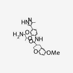 COc1ccc2c(c1)CC(C(=O)Nc1ccc(-c3c[nH]nc3C)cc1OC(C)C(N)=O)CO2